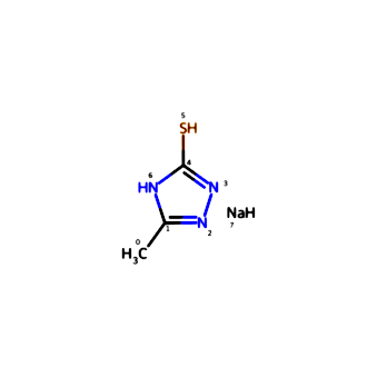 Cc1nnc(S)[nH]1.[NaH]